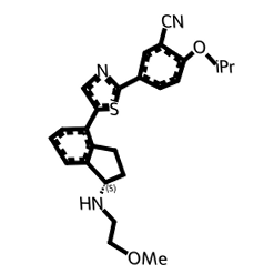 COCCN[C@H]1CCc2c(-c3cnc(-c4ccc(OC(C)C)c(C#N)c4)s3)cccc21